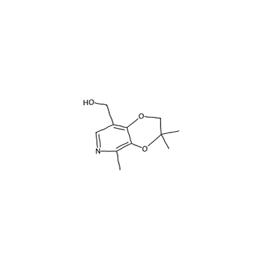 Cc1ncc(CO)c2c1OC(C)(C)CO2